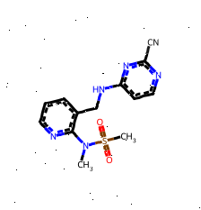 CN(c1ncccc1CNc1ccnc(C#N)n1)S(C)(=O)=O